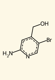 Nc1cc(CO)c(Br)cn1